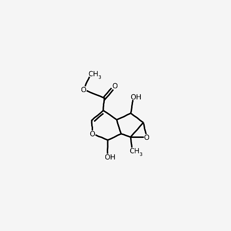 COC(=O)C1=COC(O)C2C1C(O)C1OC12C